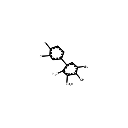 Cc1c(-c2ccc(Cl)c(Cl)c2)cc(C(C)(C)C)c(O)c1C(=O)O